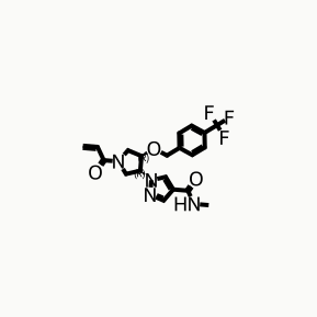 C=CC(=O)N1C[C@@H](n2cc(C(=O)NC)cn2)[C@H](OCc2ccc(C(F)(F)F)cc2)C1